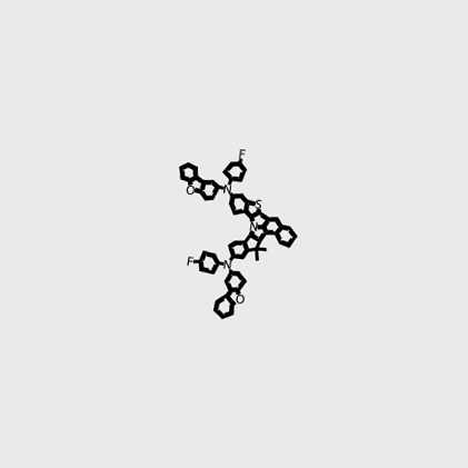 CC1(C)c2cc(N(c3ccc(F)cc3)c3ccc4oc5ccccc5c4c3)ccc2-c2c1c1c3ccccc3cc3c4sc5cc(N(c6ccc(F)cc6)c6ccc7oc8ccccc8c7c6)ccc5c4n2c31